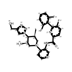 C[C@H]1CN(c2ccncc2NC(=O)c2ccc(F)c(-c3c(F)cccc3F)n2)C[C@@H](N)C1n1cc(CO)nn1